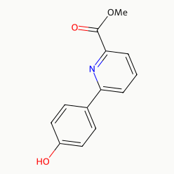 COC(=O)c1cccc(-c2ccc(O)cc2)n1